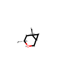 C[C@@H]1C[C@]2(C)CC2CO1